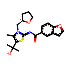 Cc1c(C(C)(C)O)s/c(=N\C(=O)c2ccc3occc3c2)n1C[C@H]1CCCO1